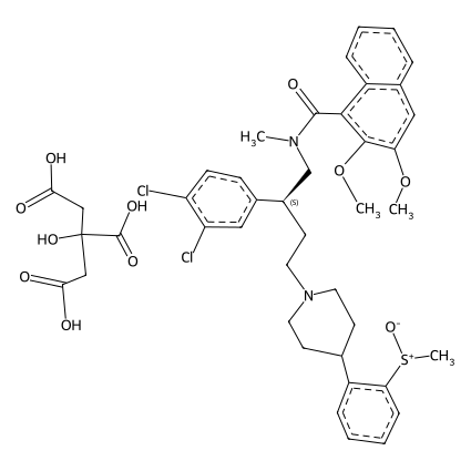 COc1cc2ccccc2c(C(=O)N(C)C[C@@H](CCN2CCC(c3ccccc3[S+](C)[O-])CC2)c2ccc(Cl)c(Cl)c2)c1OC.O=C(O)CC(O)(CC(=O)O)C(=O)O